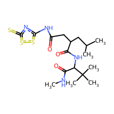 CNC(=O)C(NC(=O)C(CC(=O)Nc1nc(=S)ss1)CC(C)C)C(C)(C)C